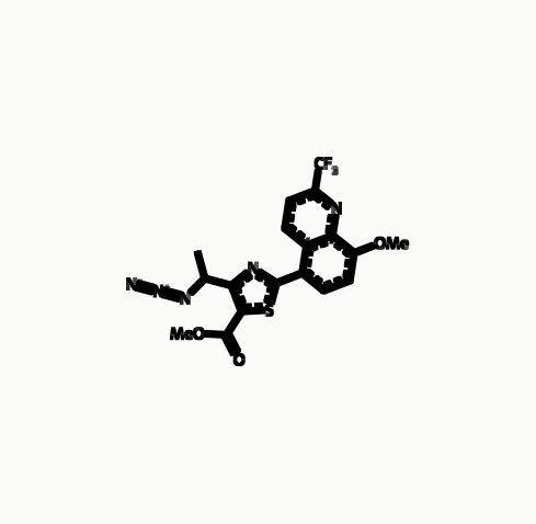 COC(=O)c1sc(-c2ccc(OC)c3nc(C(F)(F)F)ccc23)nc1C(C)N=[N+]=[N-]